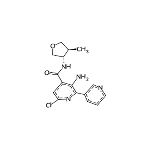 C[C@@H]1COC[C@H]1NC(=O)c1cc(Cl)nc(-c2cccnc2)c1N